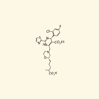 CCOC(=O)C1=C(CN2CCO[C@H](CCCC(C)C(=O)O)C2)NC(c2nccs2)=N[C@H]1c1ccc(F)cc1Cl